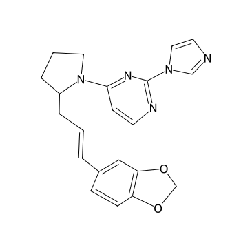 C(=Cc1ccc2c(c1)OCO2)CC1CCCN1c1ccnc(-n2ccnc2)n1